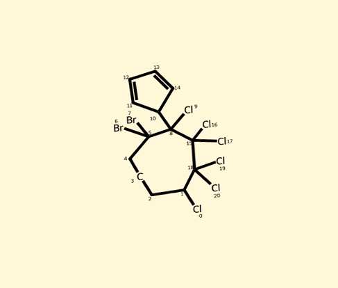 ClC1CCCC(Br)(Br)C(Cl)(C2C=CC=C2)C(Cl)(Cl)C1(Cl)Cl